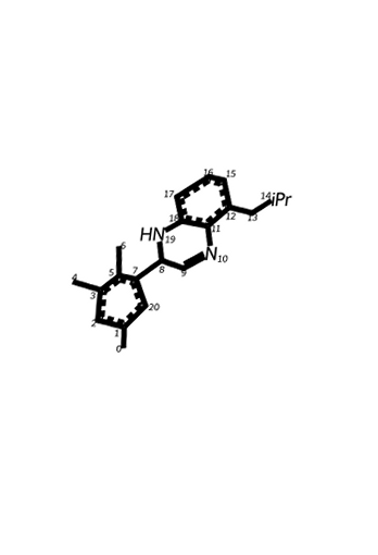 Cc1cc(C)c(C)c(C2C=Nc3c(CC(C)C)cccc3N2)c1